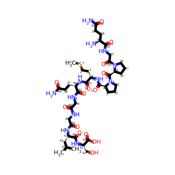 CSCC[C@H](NC(=O)[C@@H]1CCCN1C(=O)[C@@H]1CCCN1C(=O)CNC(=O)[C@@H](N)CCC(N)=O)C(=O)N[C@@H](CCC(N)=O)C(=O)NCC(=O)NCC(=O)N[C@@H](CC(C)C)C(=O)N[C@@H](CO)C(=O)O